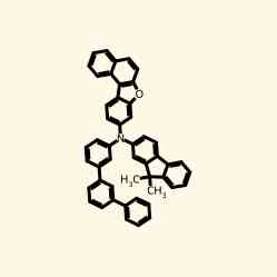 CC1(C)c2ccccc2-c2ccc(N(c3cccc(-c4cccc(-c5ccccc5)c4)c3)c3ccc4c(c3)oc3ccc5ccccc5c34)cc21